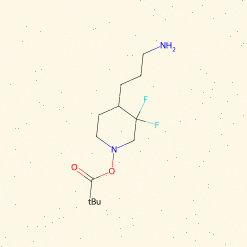 CC(C)(C)C(=O)ON1CCC(CCCN)C(F)(F)C1